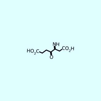 N=C(CC(=O)O)C(=O)CCC(=O)O